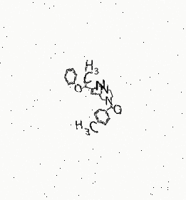 Cc1ccc(C(=O)N2CCn3nc(C(C)Oc4ccccc4)cc3C2)cc1